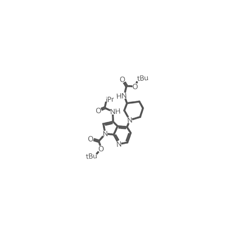 CC(C)C(=O)Nc1cn(C(=O)OC(C)(C)C)c2nccc(N3CCCC(NC(=O)OC(C)(C)C)C3)c12